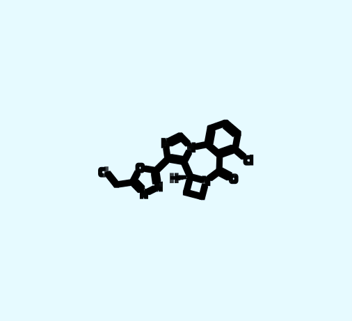 O=C1c2c(Cl)cccc2-n2cnc(-c3nnc(CCl)o3)c2[C@@H]2CCN12